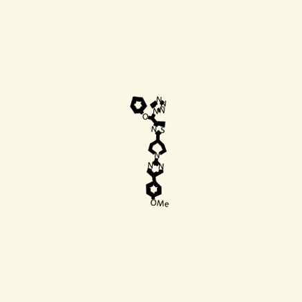 COc1ccc(-c2cnc(N3CCC(c4nc(C(Oc5ccccc5)n5cnnn5)cs4)CC3)nc2)cc1